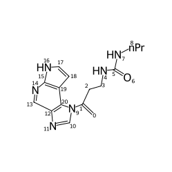 C=C(CCNC(=O)NCCC)n1cnc2cnc3[nH]ccc3c21